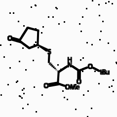 COC(=O)[C@H](CS[C@@H]1CCC(=O)C1)NC(=O)OC(C)(C)C